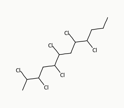 CCCC(Cl)C(Cl)CC(Cl)C(Cl)CC(Cl)C(C)Cl